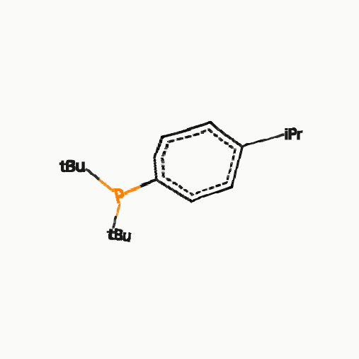 CC(C)c1ccc(P(C(C)(C)C)C(C)(C)C)cc1